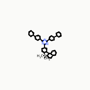 C[Si]1(C)c2ccc(-c3nc(-c4ccc(-c5ccccc5)cc4)nc(-c4ccc(-c5ccccc5)cc4)n3)cc2-c2c1ccc1ccccc21